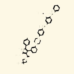 Cc1c(C(=O)N2CC(C)(O)C2)c(C2=CCCC(N3CCN(c4ccc(NSc5ccc(NSc6ccccc6)c(S(=O)(=O)C(F)(F)F)c5)cc4)CC3)=C2)c(-c2ccc(Cl)cc2)n1C